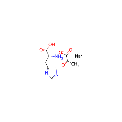 CC(=O)C(=O)[O-].N[C@@H](CC1=NC=NC1)C(=O)O.[Na+]